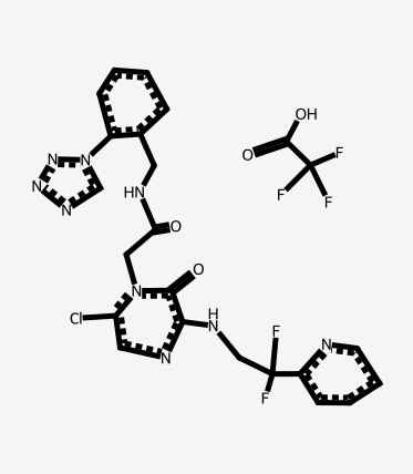 O=C(Cn1c(Cl)cnc(NCC(F)(F)c2ccccn2)c1=O)NCc1ccccc1-n1cnnn1.O=C(O)C(F)(F)F